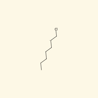 CCCCC[CH]CCl